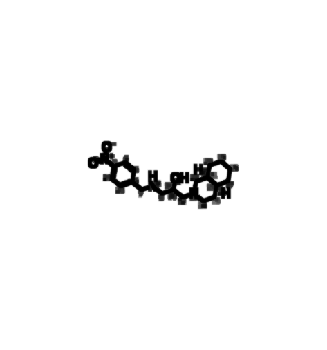 O=[N+]([O-])c1ccc(CNC[C@@H](O)CN2CC[C@@H]3CCCC[C@@H]3C2)cc1